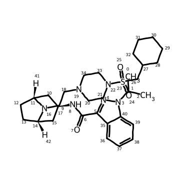 CC(C)n1nc(C(=O)N[C@@H]2C[C@H]3CC[C@@H](C2)N3CCN2CCN(S(=O)(=O)CC3CCCCC3)CC2)c2ccccc21